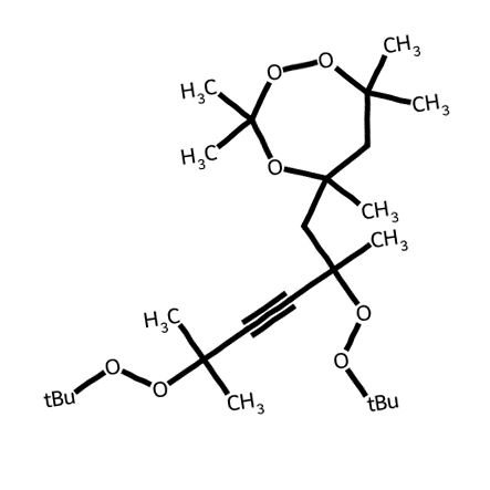 CC(C)(C)OOC(C)(C)C#CC(C)(CC1(C)CC(C)(C)OOC(C)(C)O1)OOC(C)(C)C